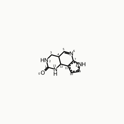 O=C1NCC2C=Nc3[nH]ccc3C2N1